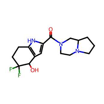 O=C(c1cc2c([nH]1)CCC(F)(F)C2O)N1CCN2CCCC2C1